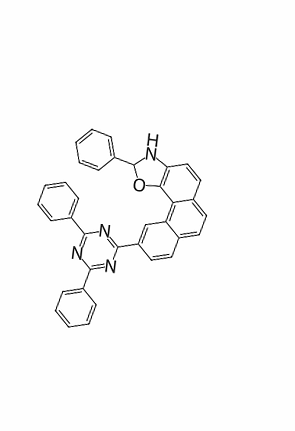 c1ccc(-c2nc(-c3ccccc3)nc(-c3ccc4ccc5ccc6c(c5c4c3)OC(c3ccccc3)N6)n2)cc1